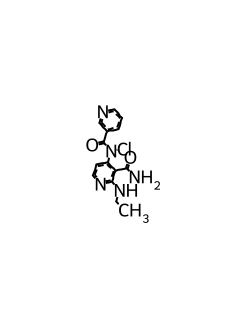 CCNc1nccc(N(Cl)C(=O)c2cccnc2)c1C(N)=O